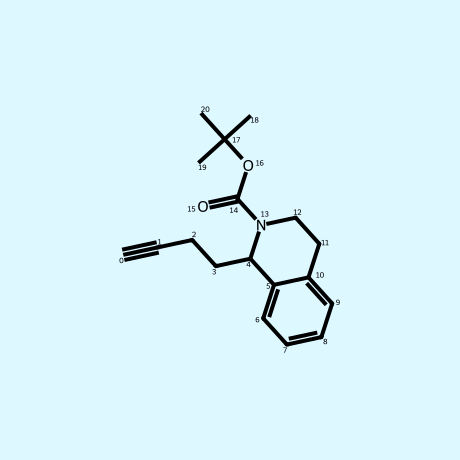 C#CCCC1c2ccccc2CCN1C(=O)OC(C)(C)C